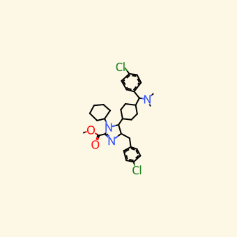 COC(=O)C1=NC(Cc2ccc(Cl)cc2)C(C2CCC(C(c3ccc(Cl)cc3)N(C)C)CC2)N1C1CCCCC1